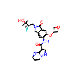 CC(C)(O)[C@H](F)CN1Cc2cc(NC(=O)c3cnn4cccnc34)c(OC3COC3)cc2C1=O